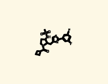 CS(=O)(=O)NC1CCN(C(=O)C2CCC2)C1Cc1csc(-c2cc(F)cc(F)c2)n1